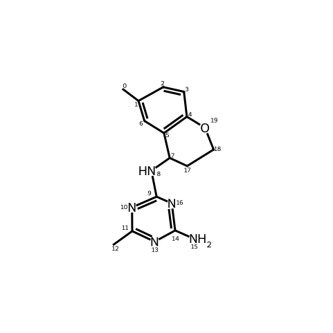 Cc1ccc2c(c1)C(Nc1nc(C)nc(N)n1)CCO2